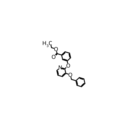 CCOC(=O)c1cccc(Oc2ncccc2OCc2ccccc2)c1